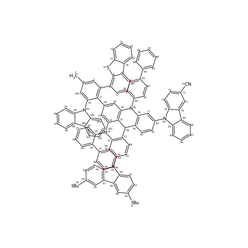 Cc1cc(-c2cccc3c2sc2ccccc23)c(-c2cc3c4c(c2)N(c2ccccc2-c2ccccc2)c2cc(-n5c6ccc(C(C)(C)C)cc6c6cc(C(C)(C)C)ccc65)ccc2C4c2ccc(-n4c5ccccc5c5cc(C#N)ccc54)cc2N3c2ccc(-c3ccccc3)cc2)c(-n2c3ccccc3c3ccccc32)c1